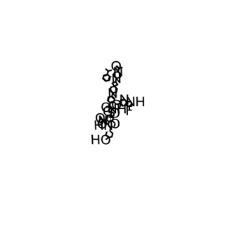 CC(=O)N1CCN(C2CC3(CCN(c4ccc(C(=O)NS(=O)(=O)c5cc6c(c([N+](=O)[O-])c5)N[C@@H]([C@H]5CC[C@](C)(O)CC5)CO6)c(Oc5cnc6[nH]cc(F)c6c5)c4)CC3)C2)[C@H](c2ccccc2C(C)C)C1